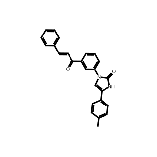 Cc1ccc(-c2cn(-c3cccc(C(=O)C=Cc4ccccc4)c3)c(=O)[nH]2)cc1